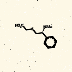 CC(=O)N[C@@H](CSCC(=O)O)c1ccccc1